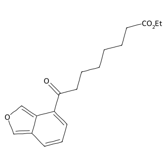 CCOC(=O)CCCCCCC(=O)c1cccc2cocc12